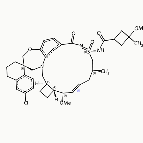 CO[C@H]1/C=C/C[C@H](C)C[S@@](=O)(NC(=O)C2CC(C)(OC)C2)=NC(=O)c2ccc3c(c2)N(C[C@@H]2CC[C@H]21)C[C@@]1(CCCc2cc(Cl)ccc21)CO3